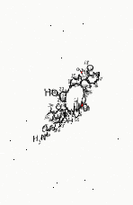 CCn1c(-c2cccnc2[C@H](C)OC)c2c3cc(ccc31)-c1cc(O)cc(c1)C[C@H](NC(=O)[C@H](C(C)C)N(C)C(=O)[C@@]1(O)CCN(C(=O)CN)C1)C(=O)N1CCC[C@H](N1)C(=O)OCC(C)(C)C2